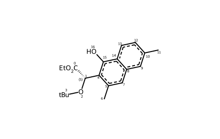 CCOC(=O)[C@@H](OC(C)(C)C)c1c(C)cc2cc(C)ccc2c1O